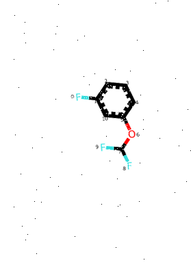 Fc1cc[c]c(OC(F)F)c1